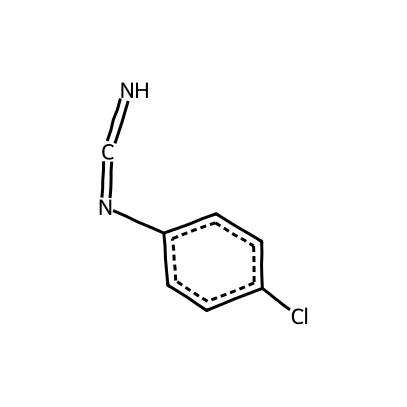 N=C=Nc1ccc(Cl)cc1